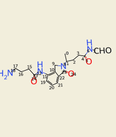 CC(CCC(=O)NC=O)N1Cc2c(NC(=O)CCCN)cccc2C1=O